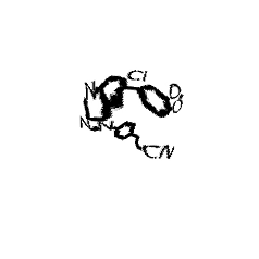 N#CCCc1ccc(-n2cnc3cnc4cc(Cl)c(-c5ccc6c(c5)OCO6)cc4c32)cc1